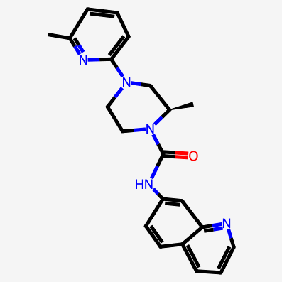 Cc1cccc(N2CCN(C(=O)Nc3ccc4cccnc4c3)[C@H](C)C2)n1